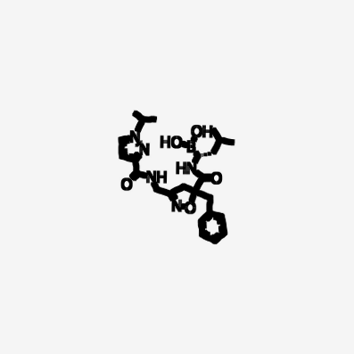 CC(C)C[C@H](NC(=O)C1(Cc2ccccc2)CC(CNC(=O)c2ccn(C(C)C)n2)=NO1)B(O)O